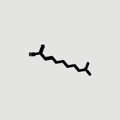 CN(C)CCCCCC=CC(=O)O